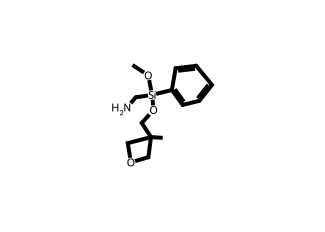 CO[Si](CN)(OCC1(C)COC1)c1ccccc1